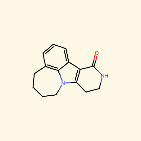 O=C1NCCc2c1c1cccc3c1n2CCCC3